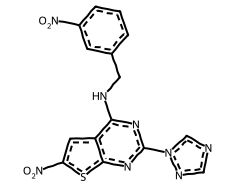 O=[N+]([O-])c1cccc(CNc2nc(-n3cncn3)nc3sc([N+](=O)[O-])cc23)c1